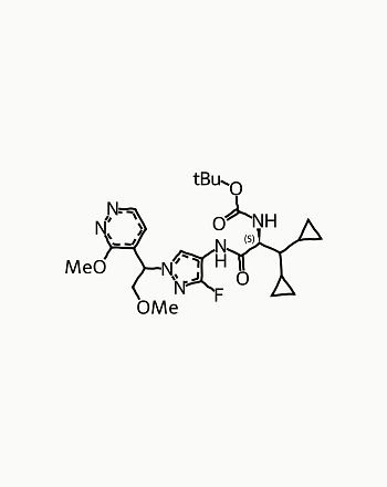 COCC(c1ccnnc1OC)n1cc(NC(=O)[C@@H](NC(=O)OC(C)(C)C)C(C2CC2)C2CC2)c(F)n1